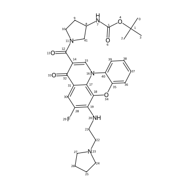 CC(C)(C)OC(=O)NC1CCN(C(=O)c2cn3c4c(c(NCCN5CCCC5)c(F)cc4c2=O)Oc2ccccc2-3)C1